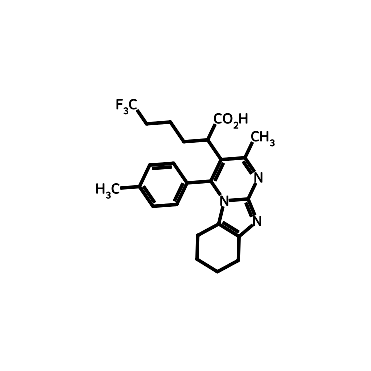 Cc1ccc(-c2c(C(CCCC(F)(F)F)C(=O)O)c(C)nc3nc4c(n23)CCCC4)cc1